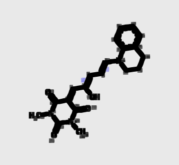 CN1C(=O)C(=C/C(O)=C/C=C/N2CCCc3ccccc32)C(=O)N(C)C1=O